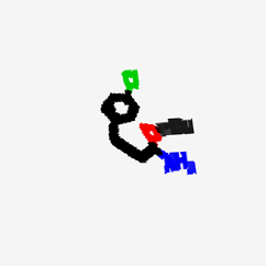 CCCCOC(N)/C=C\c1ccc(Cl)cc1